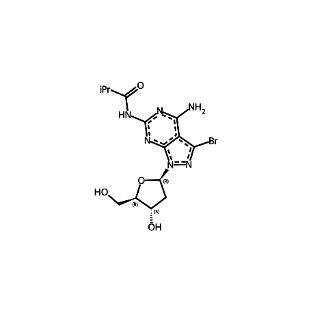 CC(C)C(=O)Nc1nc(N)c2c(Br)nn([C@H]3C[C@H](O)[C@@H](CO)O3)c2n1